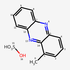 Cc1cccc2nc3ccccc3nc12.O=S(=O)(O)O